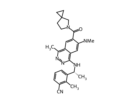 CNc1cc2c(N[C@H](C)c3cccc(C#N)c3C)nnc(C)c2cc1C(=O)N1CCC2(CC2)C1